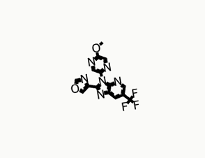 COc1cnc(-n2c(-c3cocn3)nc3cc(C(F)(F)F)cnc32)cn1